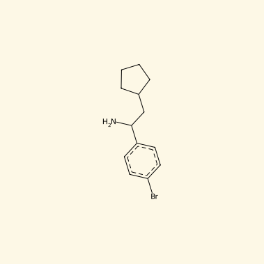 NC(CC1CCCC1)c1ccc(Br)cc1